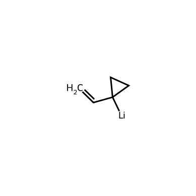 [Li][C]1(C=C)CC1